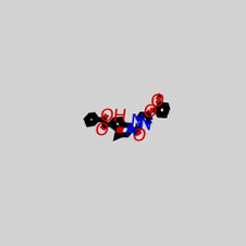 COc1ccccc1Oc1cnc(C(=O)N(Cc2ccc(C(=O)C(O)c3ccccc3)cc2)CC2CC2)nc1